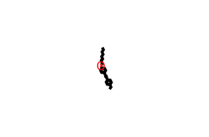 CCCCCC=CCOc1ccc(C#Cc2ccc(CC)cc2)cc1